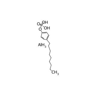 CCCCCCCCCc1ccc(OP(=O)(O)O)cc1.[AlH3]